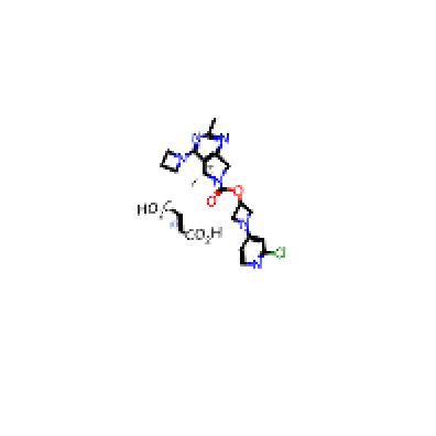 Cc1nc2c(c(N3CCC3)n1)[C@@H](C)N(C(=O)OC1CN(c3ccnc(Cl)c3)C1)C2.O=C(O)/C=C/C(=O)O